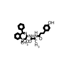 CC(NC(=O)CCc1ccc(O)cc1)C(=O)N[C@H]1N=C(c2ccccc2)c2ccccc2N(C)C1=O